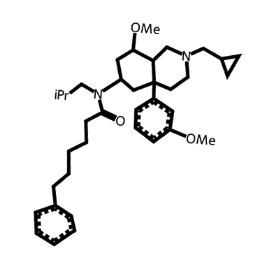 COc1cccc(C23CCN(CC4CC4)CC2C(OC)CC(N(CC(C)C)C(=O)CCCCCc2ccccc2)C3)c1